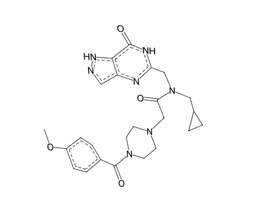 COc1ccc(C(=O)N2CCN(CC(=O)N(Cc3nc4cn[nH]c4c(=O)[nH]3)CC3CC3)CC2)cc1